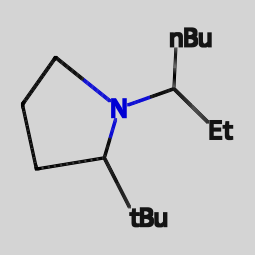 CCCCC(CC)N1CCCC1C(C)(C)C